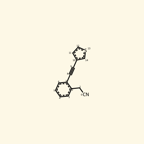 N#CCc1ccccc1C#Cc1ccsc1